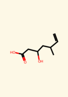 C=CC(C)CC(O)CC(=O)O